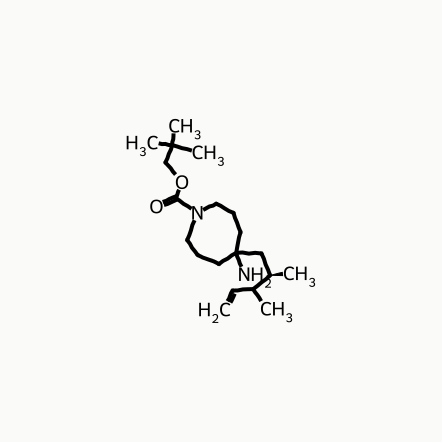 C=CC(C)[C@H](C)CC1(N)CCCN(C(=O)OCC(C)(C)C)CCC1